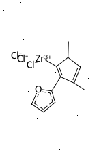 CC1=CC(C)[C]([Zr+3])=C1c1ccco1.[Cl-].[Cl-].[Cl-]